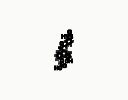 CN(C(=O)Cc1ccc2sc(=O)[nH]c2c1)[C@H](CN1CCC(O)C1)c1cccc(OCC(=O)O)c1